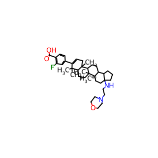 CC1(C)C(c2ccc(C(=O)O)c(F)c2)=CCC2(C)C1CCC1(C)C2CCC2C3CCCC3(NCCN3CCOCC3)CC[C@]21C